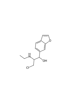 CCNC(CCl)C(O)c1ccc2ccoc2c1